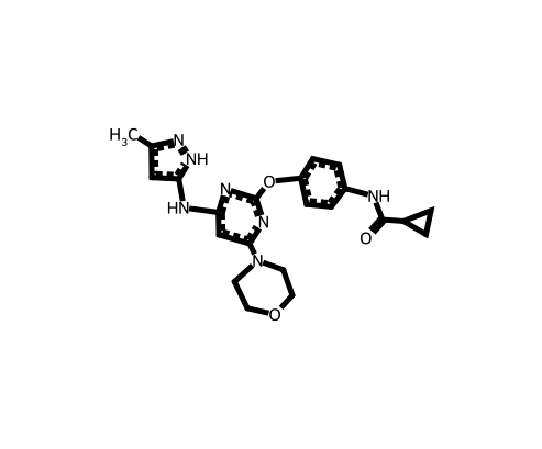 Cc1cc(Nc2cc(N3CCOCC3)nc(Oc3ccc(NC(=O)C4CC4)cc3)n2)[nH]n1